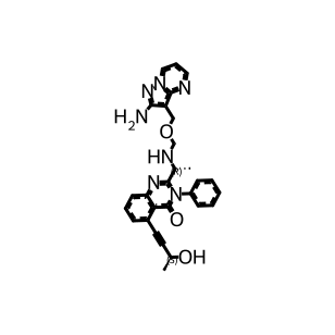 C[C@H](O)C#Cc1cccc2nc([C@@H](C)NCOCc3c(N)nn4cccnc34)n(-c3ccccc3)c(=O)c12